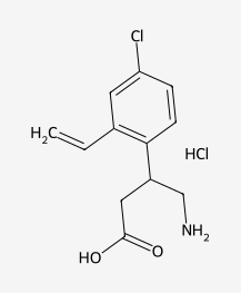 C=Cc1cc(Cl)ccc1C(CN)CC(=O)O.Cl